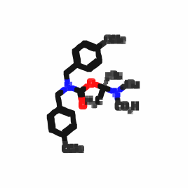 CCCC[C@](C)(OC(=O)N(Cc1ccc(OC)cc1)Cc1ccc(OC)cc1)N(C(=O)O)C(C)(C)C